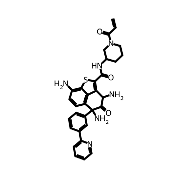 C=CC(=O)N1CCCC(NC(=O)c2sc3c(N)ccc4c3c2C(N)C(=O)C4(N)c2cccc(-c3ccccn3)c2)C1